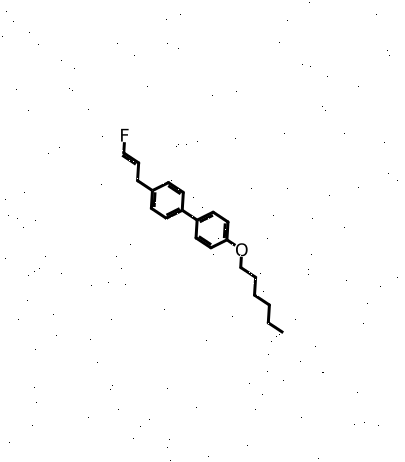 CCCCCCOc1ccc(-c2ccc(C/C=C/F)cc2)cc1